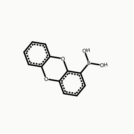 OB(O)c1cccc2c1Oc1ccccc1O2